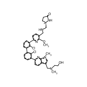 COc1nc(-c2cccc(-c3cccc(-c4ccc5c(CN(C)CCO)cn(C)c5n4)c3Cl)c2Cl)ccc1CNC[C@H]1CCC(=O)N1